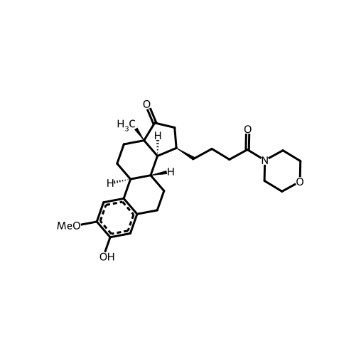 COc1cc2c(cc1O)CC[C@H]1[C@@H]3[C@H](CCCC(=O)N4CCOCC4)CC(=O)[C@@]3(C)CC[C@H]21